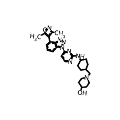 Cc1noc(C)c1-c1cccc2c1nnn2-c1ccnc(NC2CCC(CN3CCC(O)CC3)CC2)n1